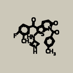 Cc1ccc(C(=O)n2c(=O)ccc3c(C(=O)c4ccc(F)c(C)c4)c(NC4CNC4)sc32)cc1